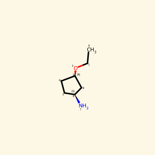 CCO[C@@H]1CC[C@H](N)C1